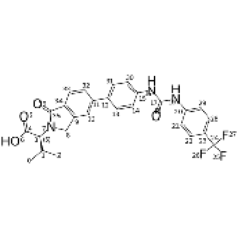 CC(C)[C@@H](C(=O)O)N1Cc2cc(-c3ccc(NC(=O)Nc4ccc(C(F)(F)F)cc4)cc3)ccc2C1=O